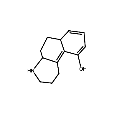 OC1=CC=CC2CCC3NCCCC3=C12